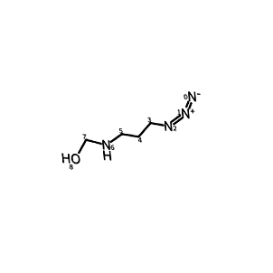 [N-]=[N+]=NCCCNCO